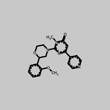 COc1ccccc1C1CN(c2nc(-c3ccncc3)cc(=O)n2C)CCO1